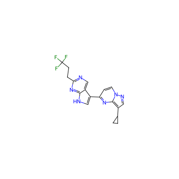 FC(F)(F)CCc1ncc2c(-c3ccn4ncc(C5CC5)c4n3)c[nH]c2n1